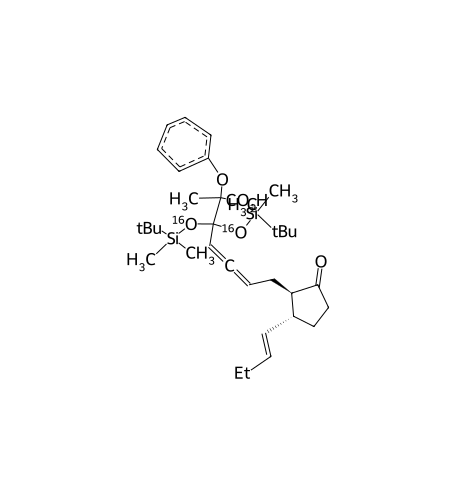 CC/C=C/[C@H]1CCC(=O)[C@@H]1CC=C=CC([16O][Si](C)(C)C(C)(C)C)([16O][Si](C)(C)C(C)(C)C)C(C)(Oc1ccccc1)C(=O)O